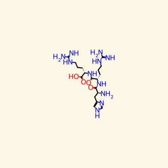 N=C(N)NCCC[C@H](NC(=O)[C@H](CCCNC(=N)N)NC(=O)[C@@H](N)Cc1c[nH]cn1)C(=O)O